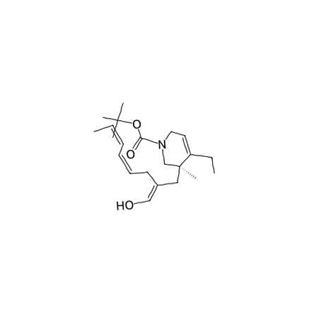 C/C=C\C=C/C/C(=C\O)C[C@@]1(C)CN(C(=O)OC(C)(C)C)CC=C1CC